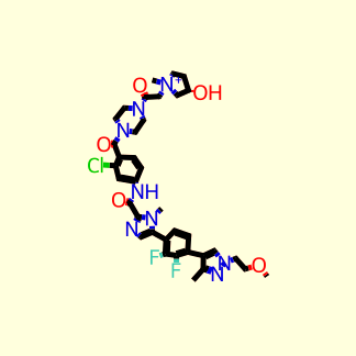 COCCn1cc(-c2ccc(-c3cnc(C(=O)Nc4ccc(C(=O)N5CCN(C(=O)C[N+]6(C)CC[C@H](O)C6)CC5)c(Cl)c4)n3C)c(F)c2F)c(C)n1